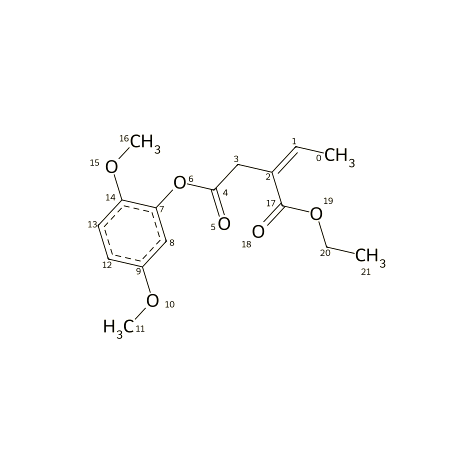 CC=C(CC(=O)Oc1cc(OC)ccc1OC)C(=O)OCC